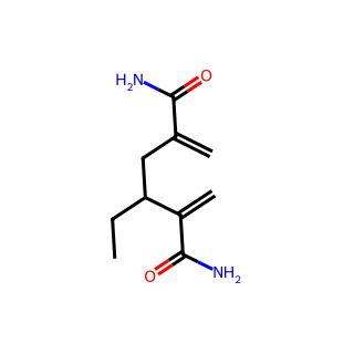 C=C(CC(CC)C(=C)C(N)=O)C(N)=O